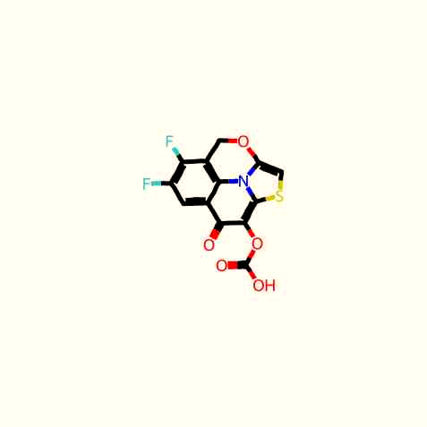 O=C(O)Oc1c(=O)c2cc(F)c(F)c3c2n2c(csc12)OC3